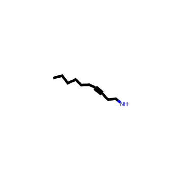 CCCCCCC#CCC[NH]